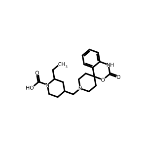 CCC1CC(CN2CCC3(CC2)OC(=O)Nc2ccccc23)CCN1C(=O)O